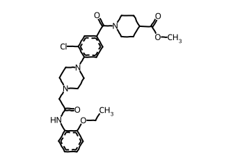 CCOc1ccccc1NC(=O)CN1CCN(c2ccc(C(=O)N3CCC(C(=O)OC)CC3)cc2Cl)CC1